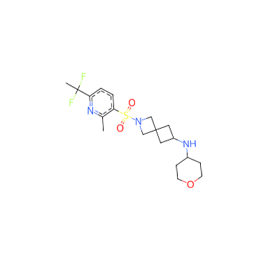 Cc1nc(C(C)(F)F)ccc1S(=O)(=O)N1CC2(CC(NC3CCOCC3)C2)C1